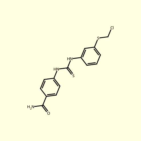 NC(=O)c1ccc(NC(=S)Nc2cccc(SCCl)c2)cc1